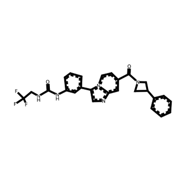 O=C(NCC(F)(F)F)Nc1cccc(-c2cnc3cc(C(=O)N4CC(c5ccccc5)C4)ccn23)c1